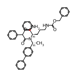 C[C@H](c1ccc(-c2ccccc2)cc1)N(C(=O)C(c1ccccc1)c1ccccc1)[C@H](CCCNC(=O)OCc1ccccc1)C(N)=O